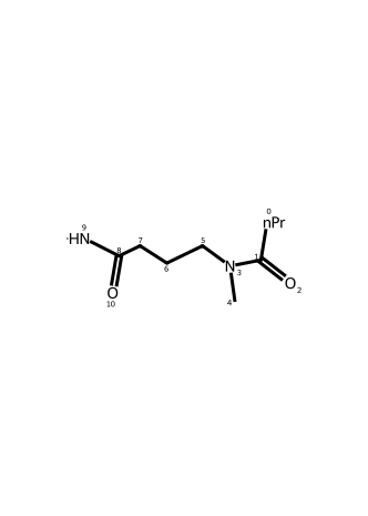 CCCC(=O)N(C)CCCC([NH])=O